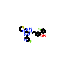 Oc1ccc(CCNc2nc(-c3cncc(F)c3)nc3c2nc2n3CCCCS2)cc1-c1ccccc1F